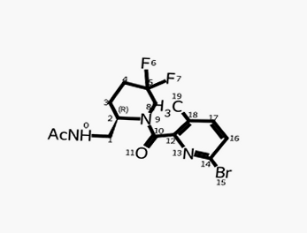 CC(=O)NC[C@H]1CCC(F)(F)CN1C(=O)c1nc(Br)ccc1C